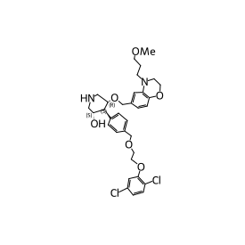 COCCCN1CCOc2ccc(CO[C@H]3CNC[C@@H](O)[C@@H]3c3ccc(COCCOc4cc(Cl)ccc4Cl)cc3)cc21